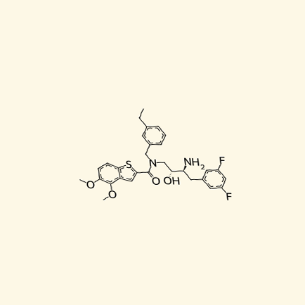 CCc1cccc(CN(C[C@@H](O)[C@@H](N)Cc2cc(F)cc(F)c2)C(=O)c2cc3c(OC)c(OC)ccc3s2)c1